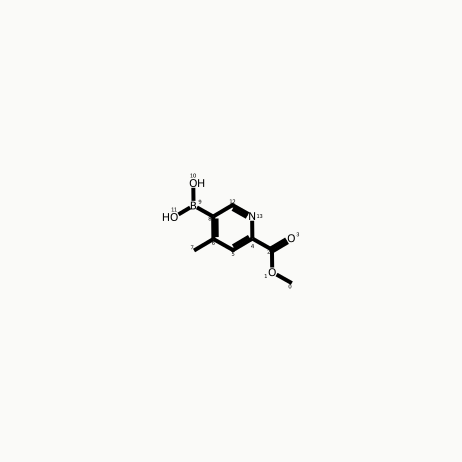 COC(=O)c1cc(C)c(B(O)O)cn1